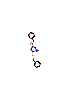 c1ccc(COC[C@@H]2C[C@H](OCc3ccccc3)CN2)cc1